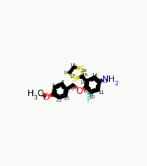 COc1ccc(COc2c(F)cc(N)cc2C2SCCS2)cc1